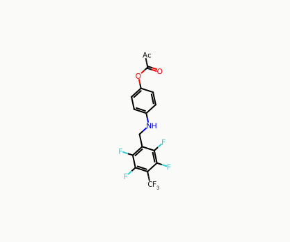 CC(=O)C(=O)Oc1ccc(NCc2c(F)c(F)c(C(F)(F)F)c(F)c2F)cc1